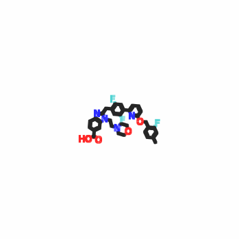 Cc1ccc(COc2cccc(-c3cc(F)c(Cc4nc5ccc(C(=O)O)cc5n4CCN4CCOCC4)cc3F)n2)c(F)c1